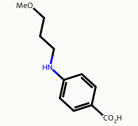 COCCCNc1ccc(C(=O)O)cc1